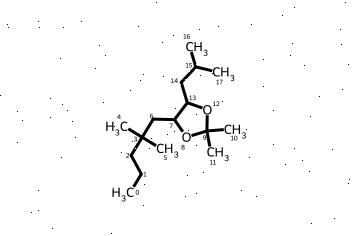 CCCC(C)(C)CC1OC(C)(C)OC1CC(C)C